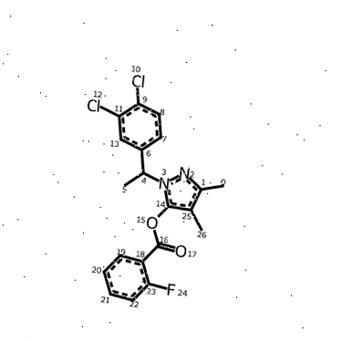 Cc1nn(C(C)c2ccc(Cl)c(Cl)c2)c(OC(=O)c2ccccc2F)c1C